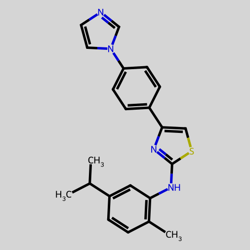 Cc1ccc(C(C)C)cc1Nc1nc(-c2ccc(-n3ccnc3)cc2)cs1